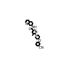 Cc1cc(C(=O)N[C@H]2CCc3cccnc3C2)nnc1N1CCC(Oc2cccc(C#N)c2)CC1